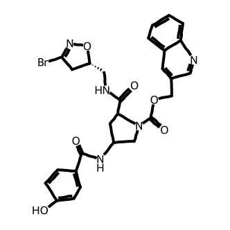 O=C(NC1CC(C(=O)NC[C@@H]2CC(Br)=NO2)N(C(=O)OCc2cnc3ccccc3c2)C1)c1ccc(O)cc1